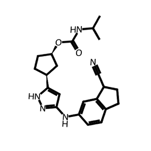 CC(C)NC(=O)O[C@@H]1CC[C@H](c2cc(Nc3ccc4c(c3)C(C#N)CC4)n[nH]2)C1